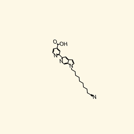 N#CCCCCCCCCCn1ccc2cc(-c3cc(C(=O)O)ccn3)ncc21